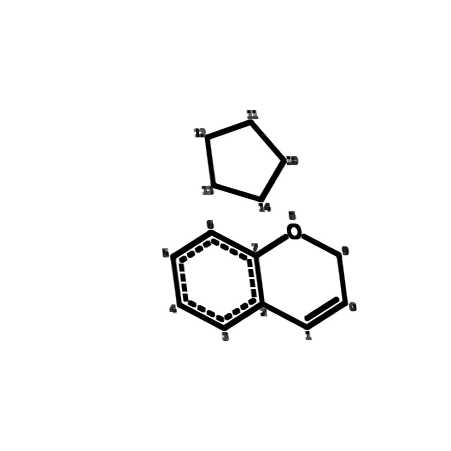 C1=Cc2ccccc2OC1.C1CCCC1